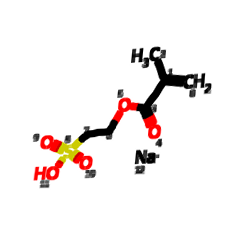 C=C(C)C(=O)OCCS(=O)(=O)O.[Na]